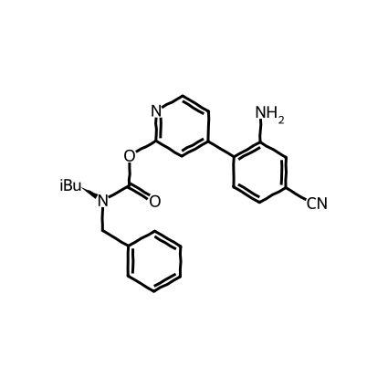 CC[C@H](C)N(Cc1ccccc1)C(=O)Oc1cc(-c2ccc(C#N)cc2N)ccn1